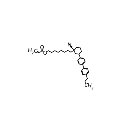 C=CC(=O)OCCCCCCCCC1(C#N)CCCC(c2ccc(-c3ccc(CCC)cc3)cc2)C1